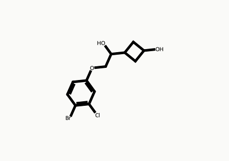 OC1CC(C(O)COc2ccc(Br)c(Cl)c2)C1